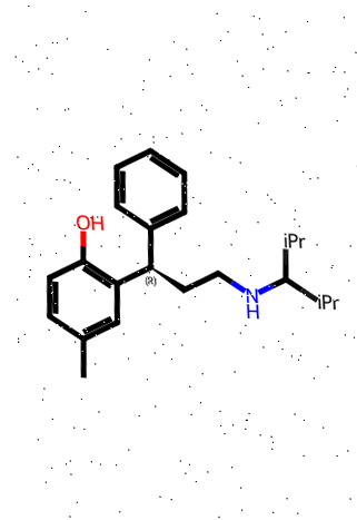 Cc1ccc(O)c([C@H](CCNC(C(C)C)C(C)C)c2ccccc2)c1